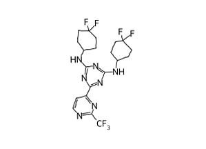 FC1(F)CCC(Nc2nc(NC3CCC(F)(F)CC3)nc(-c3ccnc(C(F)(F)F)n3)n2)CC1